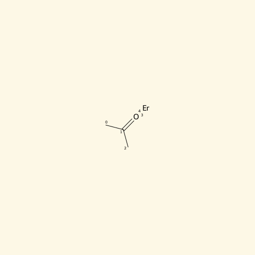 CC(C)=O.[Er]